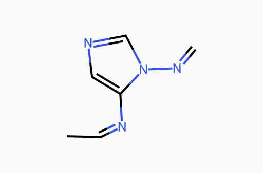 C=Nn1cncc1/N=C\C